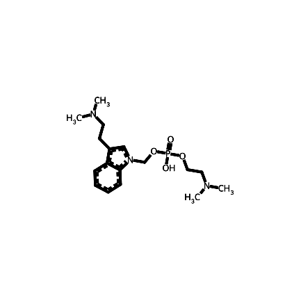 CN(C)CCOP(=O)(O)OCn1cc(CCN(C)C)c2ccccc21